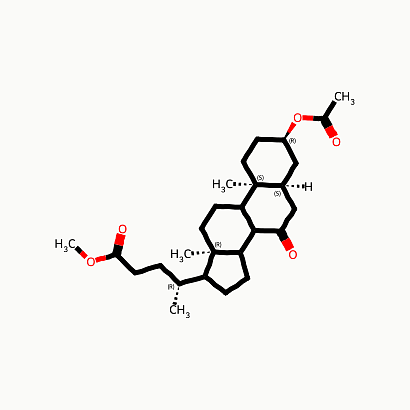 COC(=O)CC[C@@H](C)C1CCC2C3C(=O)C[C@@H]4C[C@H](OC(C)=O)CC[C@]4(C)C3CC[C@@]21C